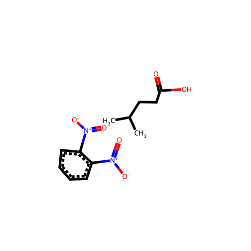 CC(C)CCC(=O)O.O=[N+]([O-])c1ccccc1[N+](=O)[O-]